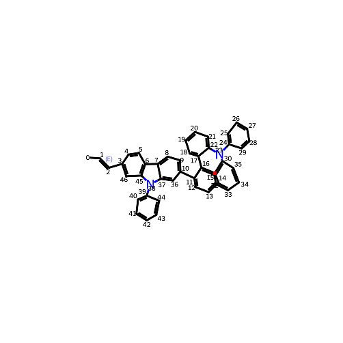 C/C=C/c1ccc2c3ccc(-c4ccccc4-c4ccccc4N(c4ccccc4)c4ccccc4)cc3n(-c3ccccc3)c2c1